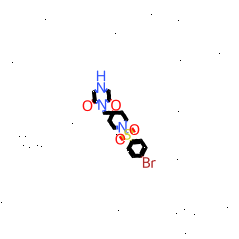 O=C1CNCC2OC3(CCN(S(=O)(=O)c4ccc(Br)cc4)CC3)CN12